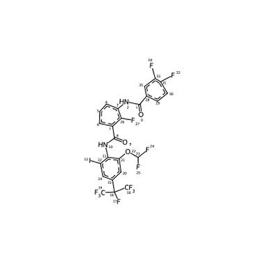 O=C(Nc1cccc(C(=O)Nc2c(I)cc(C(F)(C(F)(F)F)C(F)(F)F)cc2OC(F)F)c1F)c1ccc(F)c(F)c1